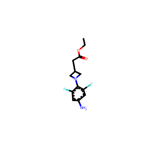 CCOC(=O)CC1CN(c2c(F)cc(N)cc2F)C1